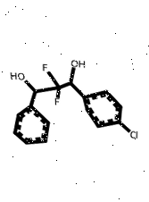 OC(c1ccccc1)C(F)(F)C(O)c1ccc(Cl)cc1